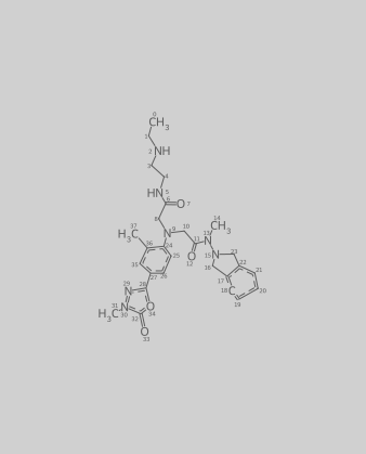 CCNCCNC(=O)CN(CC(=O)N(C)N1Cc2ccccc2C1)c1ccc(-c2nn(C)c(=O)o2)cc1C